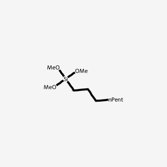 CCCCCCC[CH][Si](OC)(OC)OC